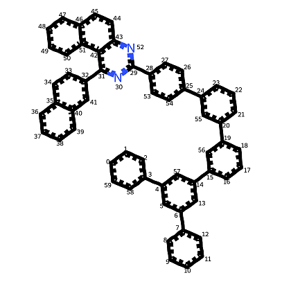 c1ccc(-c2cc(-c3ccccc3)cc(-c3cccc(-c4cccc(-c5ccc(-c6nc(-c7ccc8ccccc8c7)c7c(ccc8ccccc87)n6)cc5)c4)c3)c2)cc1